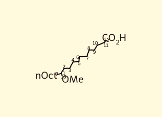 CCCCCCCCC(CCCCCCCCCCC(=O)O)OC